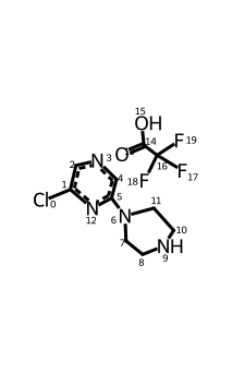 Clc1cncc(N2CCNCC2)n1.O=C(O)C(F)(F)F